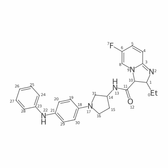 CCC1N=C2C=CC(F)=CN2C1C(=O)NC1CCN(c2ccc(Nc3ccccc3)cc2)C1